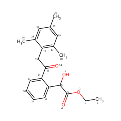 CCOC(=O)C(O)c1ccccc1C(=O)Cc1c(C)cc(C)cc1C